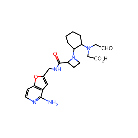 Nc1nccc2oc(CNC(=O)C3CCN3C3CCCCC3N(CC=O)CC(=O)O)cc12